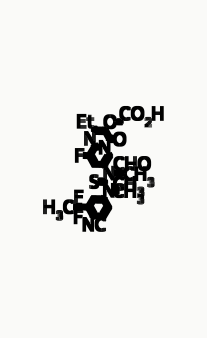 CCc1nc2c(F)cc(N(C(=S)N(C)c3ccc(C#N)c(C(C)(F)F)c3)C(C)(C)C=O)cn2c(=O)c1OCC(=O)O